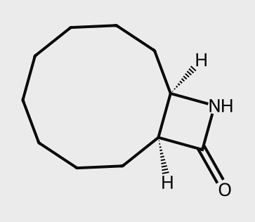 O=C1N[C@@H]2CCCCCCCC[C@H]12